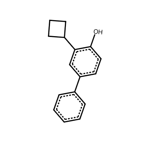 Oc1ccc(-c2ccccc2)cc1C1CCC1